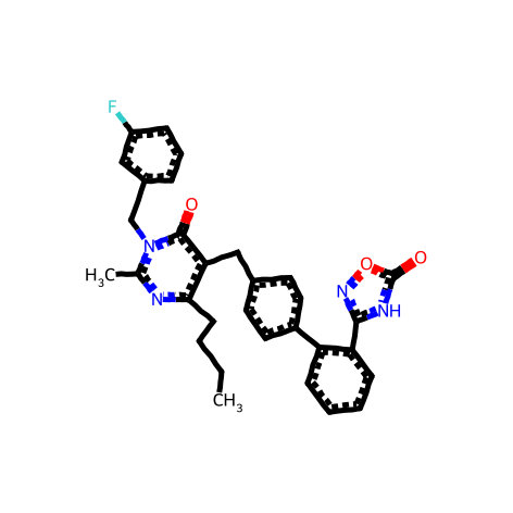 CCCCc1nc(C)n(Cc2cccc(F)c2)c(=O)c1Cc1ccc(-c2ccccc2-c2noc(=O)[nH]2)cc1